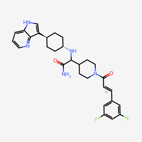 NC(=O)C(N[C@H]1CC[C@H](c2c[nH]c3cccnc32)CC1)C1CCN(C(=O)/C=C/c2cc(F)cc(F)c2)CC1